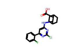 O=C(O)C1C2CCC(CC2)C1Nc1cc(-c2ccccc2F)nc(Cl)n1